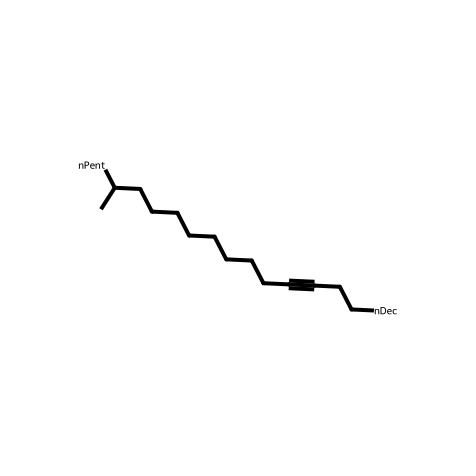 [CH2]CCCCCCCCCCCC#CCCCCCCCCC(C)CCCC[CH2]